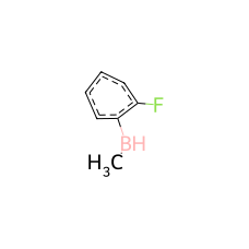 CBc1ccccc1F